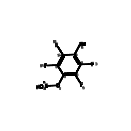 CCC(C)c1c(F)c(F)c(OS(=O)(=O)O)c(F)c1F